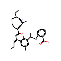 CC/C=C1C=C(/C2=C/C(C)=C\C(CC)CCC2)Oc2c/1cc(C)cc2C(C)Bc1ccccc1C(=O)O